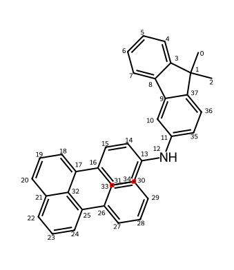 CC1(C)c2ccccc2-c2cc(Nc3ccc(-c4cccc5cccc(-c6ccccc6)c45)cc3)ccc21